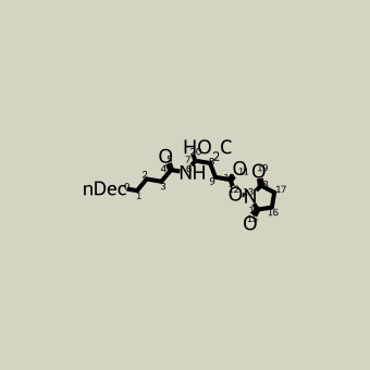 CCCCCCCCCCCCCC(=O)NC(CCC(=O)ON1C(=O)CCC1=O)C(=O)O